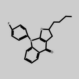 CCCCC1Cc2c(n(-c3ccc(F)cc3)c3ccccc3c2=O)O1